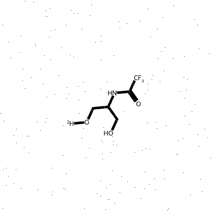 [2H]OCC(CO)NC(=O)C(F)(F)F